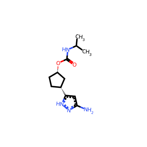 CC(C)NC(=O)O[C@H]1CC[C@@H](c2cc(N)n[nH]2)C1